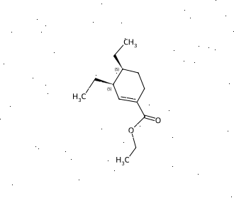 CCOC(=O)C1=C[C@@H](CC)[C@@H](CC)CC1